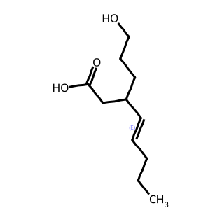 CCC/C=C/C(CCCO)CC(=O)O